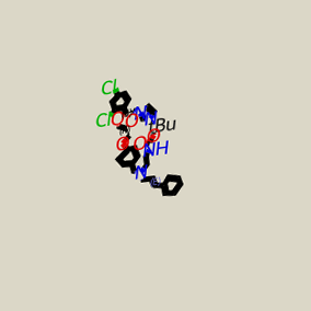 CC(C)(C)OC(=O)NCCN(C/C=C/c1ccccc1)Cc1ccc(OC[C@@H]2CO[C@@](Cn3ccnc3)(c3ccc(Cl)cc3Cl)O2)cc1